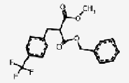 COC(=O)C(Cc1ccc(C(F)(F)F)cc1)C(=O)OCc1ccccc1